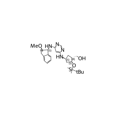 CO[C@@H]1Cc2ccccc2[C@@H]1Nc1cc(N[C@H]2C[C@H](CO)[C@@H](O[Si](C)(C)C(C)(C)C)C2)ncn1